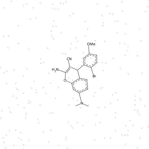 COc1ccc(Br)c(C2C(C#N)=C(N)Oc3cc(N(C)C)ccc32)c1